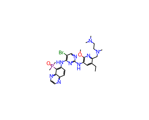 CCc1cc(Nc2ncc(Br)c(Nc3ccc4nccnc4c3P(C)(C)=O)n2)c(OC)nc1CN(C)CCN(C)C